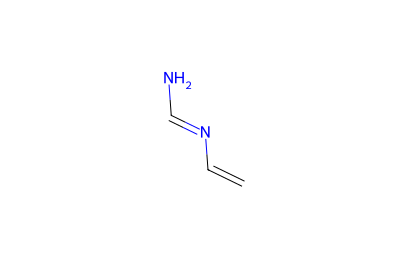 C=CN=CN